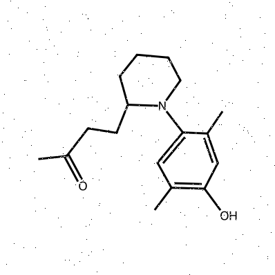 CC(=O)CCC1CCCCN1c1cc(C)c(O)cc1C